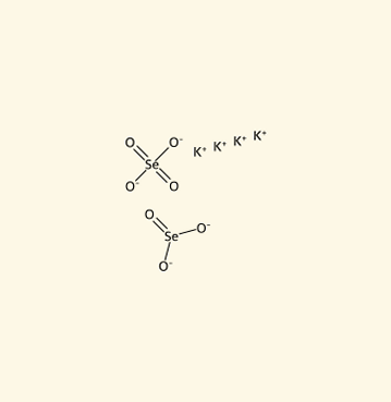 O=[Se](=O)([O-])[O-].O=[Se]([O-])[O-].[K+].[K+].[K+].[K+]